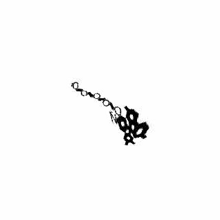 COCCOCCOCCOCCOc1cc(C2(c3ccc(C)c(C)c3)c3cc(C)ccc3-c3ccc(C)cc32)ccc1N(C)C